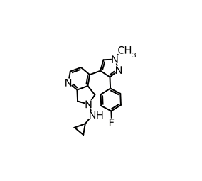 Cn1cc(-c2ccnc3c2CN(NC2CC2)C3)c(-c2ccc(F)cc2)n1